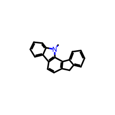 Cn1c2ccccc2c2ccc3c(c21)-c1ccccc1C3